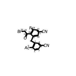 CC(=O)c1ccc(C#N)cc1Cc1cc(C#N)cc(F)c1C(=O)CBr